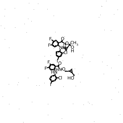 CC(O)(ONC(=O)c1cc(F)c(F)cc1Nc1ccc(I)cc1Cl)C1CC1.O=C(NOCC1CC1CO)c1cc(F)c(F)cc1Nc1ccc(I)cc1Cl